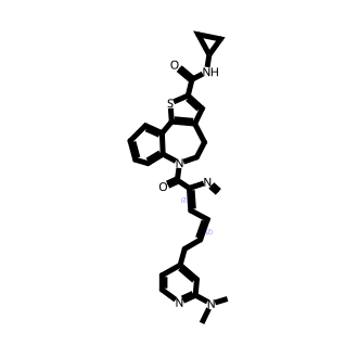 C=N/C(=C\C=C/Cc1ccnc(N(C)C)c1)C(=O)N1CCc2cc(C(=O)NC3CC3)sc2-c2ccccc21